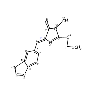 CCSC1=N/C(=C\c2ccc3ncsc3c2)C(=O)N1C